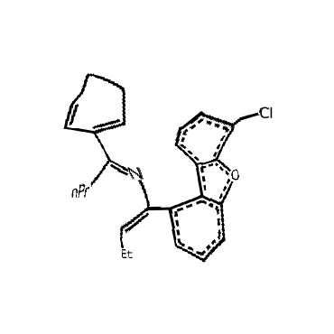 CC/C=C(/N=C(\CCC)C1=CCCC=C1)c1cccc2oc3c(Cl)cccc3c12